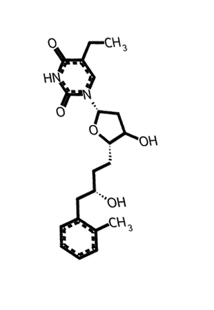 CCc1cn([C@@H]2CC(O)[C@H](CC[C@H](O)Cc3ccccc3C)O2)c(=O)[nH]c1=O